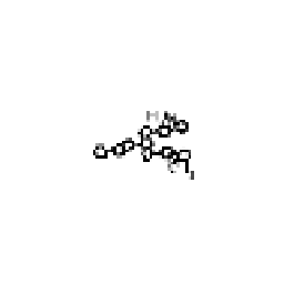 Cn1c2ccccc2c2ccc(-c3cccc4c(-c5ccc6cc(-c7ccccc7)ccc6c5)c5cccc(-c6ccc7c8ccccc8n(C)c7c6)c5cc34)cc21